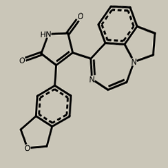 O=C1NC(=O)C(c2ccc3c(c2)COC3)=C1C1=NC=CN2CCc3cccc1c32